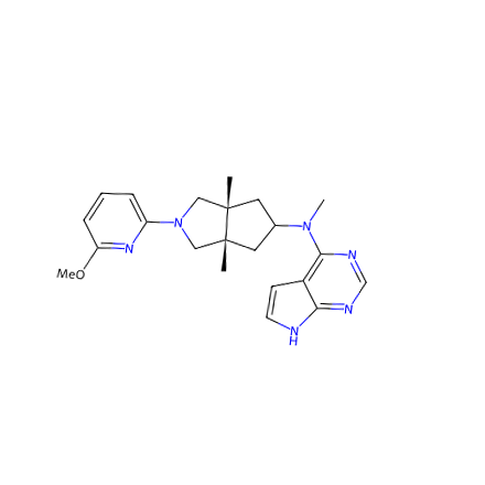 COc1cccc(N2C[C@]3(C)CC(N(C)c4ncnc5[nH]ccc45)C[C@]3(C)C2)n1